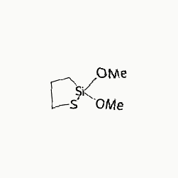 CO[Si]1(OC)CCCS1